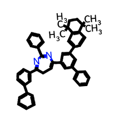 CC1(C)CCC(C)(C)c2cc(-c3cc(C4=CCC(c5cccc(-c6ccccc6)c5)=NC(c5ccccc5)=N4)cc(-c4ccccc4)c3)ccc21